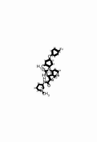 Cc1cc(Oc2ccc(F)cc2)ccc1N1C(=O)Nc2c(C(=O)N[C@@H]3CCCN(C)C3)sc3nccc1c23